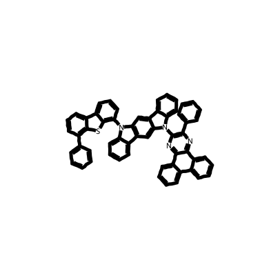 c1ccc(-c2nc3c4ccccc4c4ccccc4c3nc2-n2c3ccccc3c3cc4c(cc32)c2ccccc2n4-c2cccc3c2sc2c(-c4ccccc4)cccc23)cc1